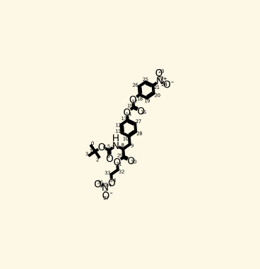 CC(C)(C)OC(=O)NC(Cc1ccc(OC(=O)Oc2ccc([N+](=O)[O-])cc2)cc1)C(=O)OCCO[N+](=O)[O-]